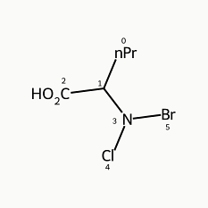 CCCC(C(=O)O)N(Cl)Br